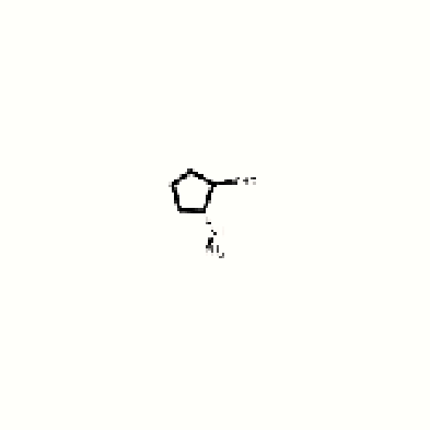 O=C[C@@H]1CCC[C@H]1NP